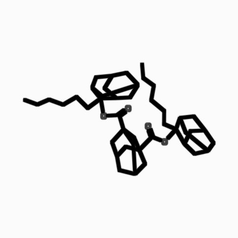 CCCCCCC1(OC(=O)C23CC4CC(C2)CC(C(=O)OC2(CCCCCC)C5CC6CC(C5)CC2C6)(C4)C3)C2CC3CC(C2)CC1C3